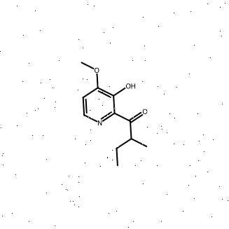 CCC(C)C(=O)c1nccc(OC)c1O